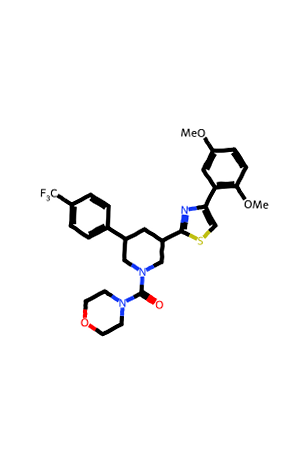 COc1ccc(OC)c(-c2csc(C3CC(c4ccc(C(F)(F)F)cc4)CN(C(=O)N4CCOCC4)C3)n2)c1